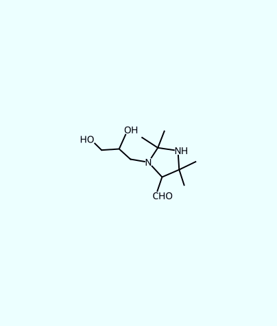 CC1(C)NC(C)(C)N(CC(O)CO)C1C=O